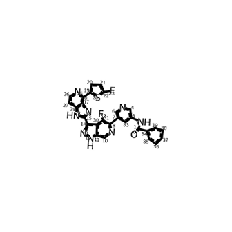 O=C(Nc1cncc(-c2ncc3[nH]nc(-c4nc5c(-c6ccc(F)s6)nccc5[nH]4)c3c2F)c1)c1ccccc1